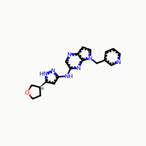 c1cncc(Cn2ccc3ncc(Nc4cc([C@H]5CCOC5)[nH]n4)nc32)c1